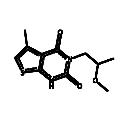 COC(C)Cn1c(=O)[nH]c2scc(C)c2c1=O